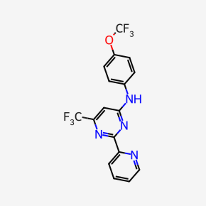 FC(F)(F)Oc1ccc(Nc2cc(C(F)(F)F)nc(-c3ccccn3)n2)cc1